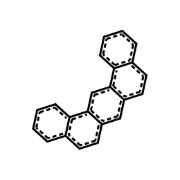 [c]1cccc2ccc3cc4ccc5ccccc5c4cc3c12